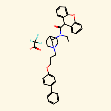 CCN(C(=O)C1c2ccccc2Oc2ccccc21)C1C[N+]2(CCCOc3ccc(-c4ccccc4)cc3)CCC1CC2.O=C([O-])C(F)(F)F